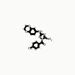 Nc1nc(Nc2ccc3c(c2)OCCO3)nn1C(=O)c1ccc(Cl)cc1